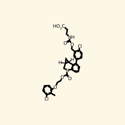 Cc1c(Cl)cccc1OCCOC(=O)N1C[C@@H]2C[C@@H]2c2c(-c3ccc(Cl)c(COC(=O)NCCC(=O)O)c3)cccc21